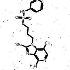 CCCCc1nc2c(N)ncc(C)c2n1CCCCS(=O)(=O)Nc1ccccc1